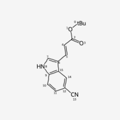 CC(C)(C)OC(=O)/C=C/c1c[nH]c2ccc(C#N)cc12